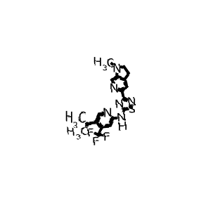 CC(C)c1cnc(Nc2nc(-c3cc4c(cn3)N(C)CC4)ns2)cc1C(F)(F)F